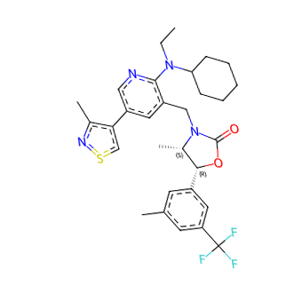 CCN(c1ncc(-c2csnc2C)cc1CN1C(=O)O[C@H](c2cc(C)cc(C(F)(F)F)c2)[C@@H]1C)C1CCCCC1